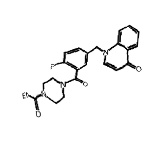 CCC(=O)N1CCN(C(=O)c2cc(Cn3ccc(=O)c4ccccc43)ccc2F)CC1